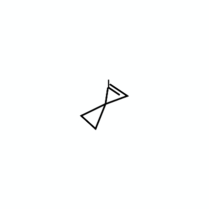 C1=IC12CC2